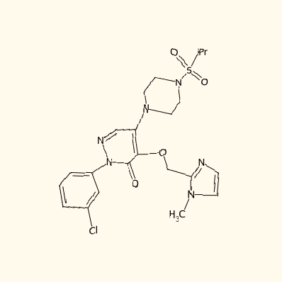 CC(C)S(=O)(=O)N1CCN(c2cnn(-c3cccc(Cl)c3)c(=O)c2OCc2nccn2C)CC1